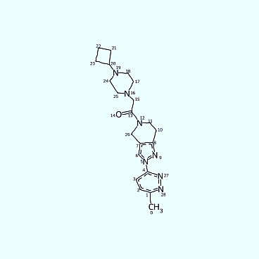 Cc1ccc(-n2cc3c(n2)CCN(C(=O)CN2CCN(C4CCC4)CC2)C3)nn1